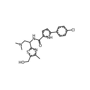 Cc1nc(C(CN(C)C)NC(=O)c2ccc(-c3ccc(Cl)cc3)[nH]2)sc1CO